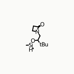 C[SiH](C)OC(CN1CCC1=O)C(C)(C)C